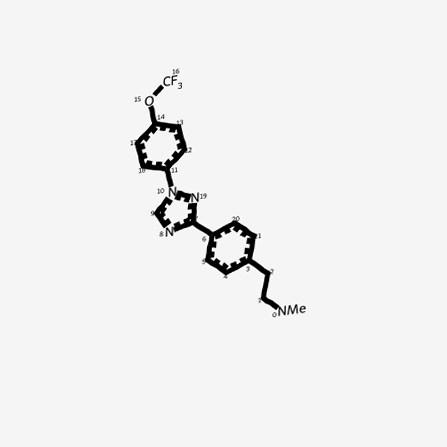 CNCCc1ccc(-c2ncn(-c3ccc(OC(F)(F)F)cc3)n2)cc1